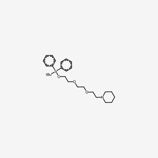 CC(C)(C)[Si](OCCOCCOCCN1CCCCC1)(c1ccccc1)c1ccccc1